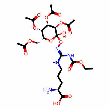 CCOC(=O)NC(=NO[C@]1(O)O[C@H](COC(C)=O)[C@H](OC(C)=O)[C@H](OC(C)=O)[C@H]1OC(C)=O)NCCC[C@H](N)C(=O)O